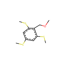 [CH2]OCc1c(SC)cc(SC)cc1SC